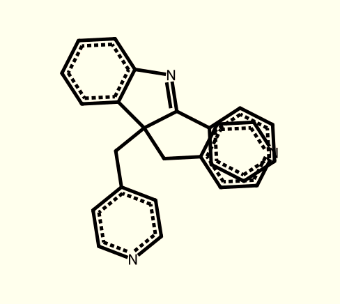 c1ccc(C2=Nc3ccccc3C2(Cc2ccncc2)Cc2ccncc2)cc1